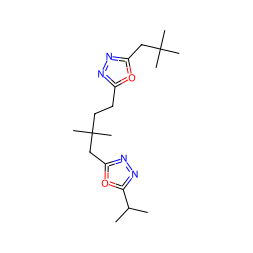 CC(C)c1nnc(CC(C)(C)CCc2nnc(CC(C)(C)C)o2)o1